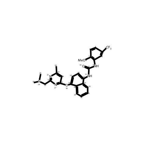 COc1ccc(C(F)(F)F)cc1NC(=O)Nc1ccc(Oc2cc(C)nc(CN(C)C)n2)c2ccccc12